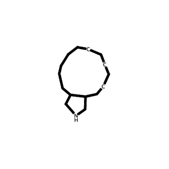 C1CCCCCC2CNCC2CCCCC1